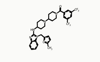 Cc1ccc(Cn2c(NC3CCN(C4CCN(C(=O)c5cc(C(F)(F)F)cc(C(F)(F)F)c5)CC4)CC3)nc3ccccc32)o1